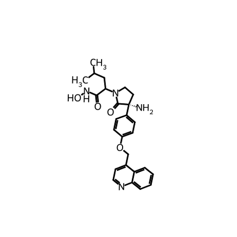 CC(C)CC(C(=O)NO)N1CC[C@@](N)(c2ccc(OCc3ccnc4ccccc34)cc2)C1=O